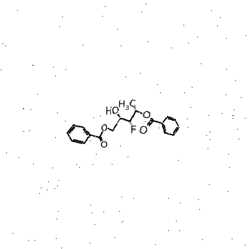 C[C@H](OC(=O)c1ccccc1)[C@H](F)[C@H](O)COC(=O)c1ccccc1